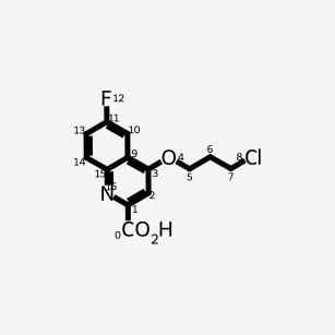 O=C(O)c1cc(OCCCCl)c2cc(F)ccc2n1